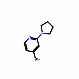 CC(C)(C)c1ccnc(N2CCCC2)c1